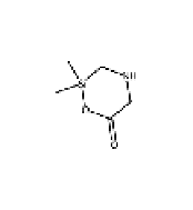 C[Si]1(C)CNCC(=O)O1